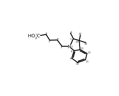 CC1N(CCCCC(=O)O)c2ccccc2C1(C)C